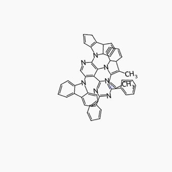 C/C=C\C1=C(C)C2C=CC#CC2N1c1c(N2C3=C(CC=C3)C3C=C=CC32)ncc(-n2c3ccccc3c3ccccc32)c1-c1nc(-c2ccccc2)nc(-c2ccccc2)n1